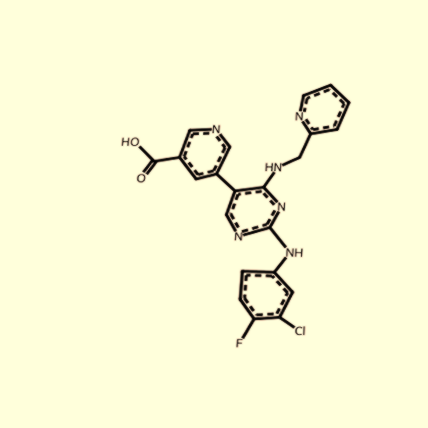 O=C(O)c1cncc(-c2cnc(Nc3ccc(F)c(Cl)c3)nc2NCc2ccccn2)c1